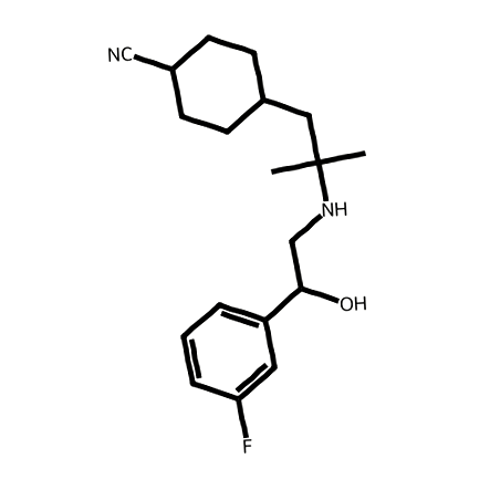 CC(C)(CC1CCC(C#N)CC1)NCC(O)c1cccc(F)c1